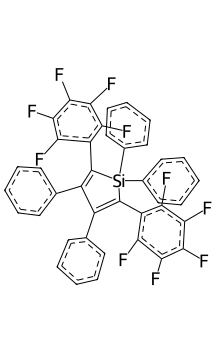 Fc1c(F)c(F)c(C2=C(c3ccccc3)C(c3ccccc3)=C(c3c(F)c(F)c(F)c(F)c3F)[Si]2(c2ccccc2)c2ccccc2)c(F)c1F